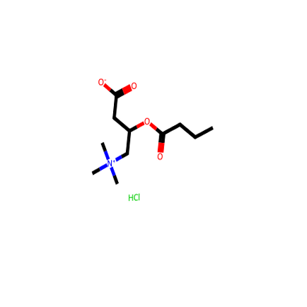 CCCC(=O)OC(CC(=O)[O-])C[N+](C)(C)C.Cl